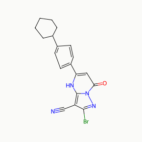 N#Cc1c(Br)nn2c(=O)cc(-c3ccc(C4CCCCC4)cc3)[nH]c12